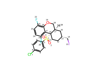 O=S(=O)(c1ccc(Cl)cc1)[C@@]12CC[C@@H](CI)C[C@@H]1COc1c(F)ccc(F)c12